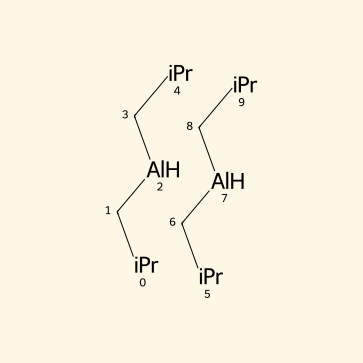 CC(C)[CH2][AlH][CH2]C(C)C.CC(C)[CH2][AlH][CH2]C(C)C